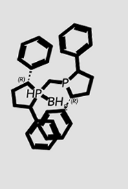 B[PH]1(CP2C(c3ccccc3)CC[C@@H]2c2ccccc2)C(c2ccccc2)CC[C@@H]1c1ccccc1